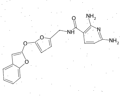 Nc1ccc(C(=O)NCc2ccc(Oc3cc4ccccc4o3)o2)c(N)n1